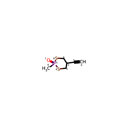 C#CC1CSP(C)(=O)SC1